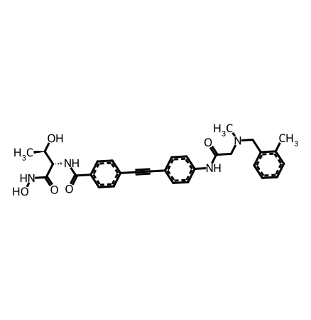 Cc1ccccc1CN(C)CC(=O)Nc1ccc(C#Cc2ccc(C(=O)N[C@H](C(=O)NO)[C@@H](C)O)cc2)cc1